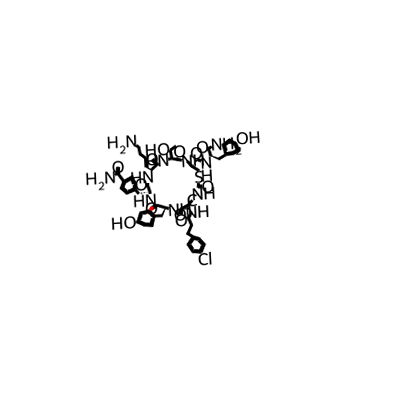 CC(O)C1NC(=O)[C@H](CCCCN)NC(=O)[C@@H](Cc2ccc(C(N)=O)cc2)NC(=O)[C@H](Cc2ccc(O)cc2)NC(=O)[C@H](NC(=O)CCc2ccc(Cl)cc2)CNC(=O)SC[C@@H](C(=O)N[C@H](Cc2ccc(O)cc2)C(N)=O)NC1=O